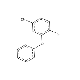 CCc1ccc(F)c(Oc2ccccc2)c1